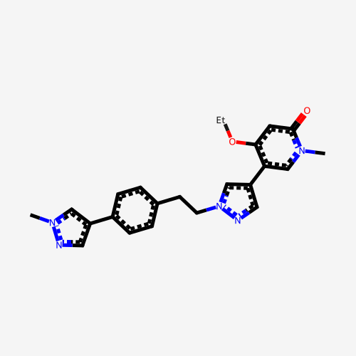 CCOc1cc(=O)n(C)cc1-c1cnn(CCc2ccc(-c3cnn(C)c3)cc2)c1